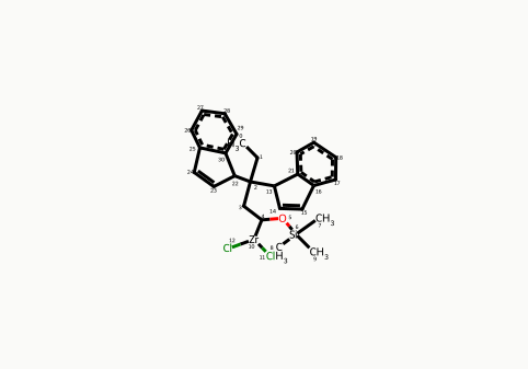 CCC(C[CH](O[Si](C)(C)C)[Zr]([Cl])[Cl])(C1C=Cc2ccccc21)C1C=Cc2ccccc21